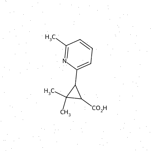 Cc1cccc(C2C(C(=O)O)C2(C)C)n1